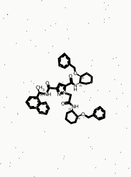 C[C@@H](NC(=O)c1cc(C(=O)N[C@H]2CCCC[C@@H]2OCc2ccccc2)n(CC(=O)N[C@H]2CCCC[C@@H]2OCc2ccccc2)n1)c1cccc2ccccc12